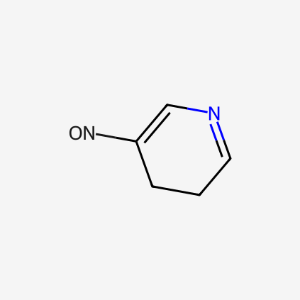 O=NC1=CN=CCC1